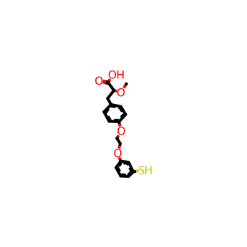 COC(Cc1ccc(OCCOc2cccc(S)c2)cc1)C(=O)O